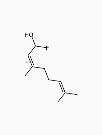 CC(C)=CCC/C(C)=C\C(O)F